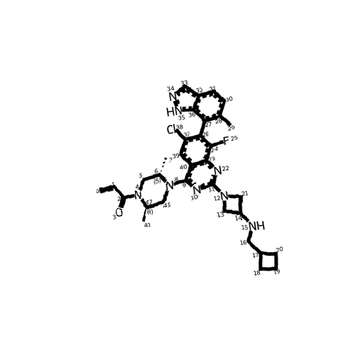 C=CC(=O)N1C[C@H](C)N(c2nc(N3CC(NCC4CCC4)C3)nc3c(F)c(-c4c(C)ccc5cn[nH]c45)c(Cl)cc23)C[C@H]1C